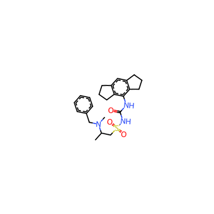 CC(CS(=O)(=O)NC(=O)Nc1c2c(cc3c1CCC3)CCC2)N(C)Cc1ccccc1